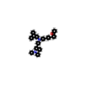 c1ccc(N(c2ccccc2)c2ccc(-c3ccc(N(c4ccc(-c5ccc(-c6cccc7c6oc6ccccc67)cc5)cc4)c4ccc5c6ccccc6c6ccccc6c5c4)cc3)c3ccccc23)cc1